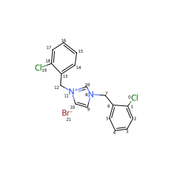 Clc1ccccc1Cn1cc[n+](Cc2ccccc2Cl)c1.[Br-]